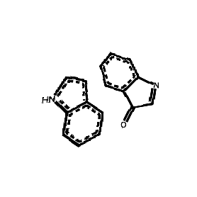 O=C1C=Nc2ccccc21.c1ccc2[nH]ccc2c1